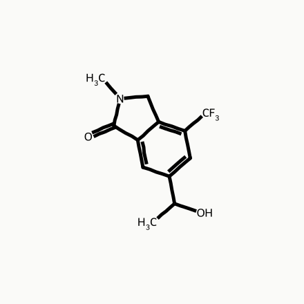 CC(O)c1cc2c(c(C(F)(F)F)c1)CN(C)C2=O